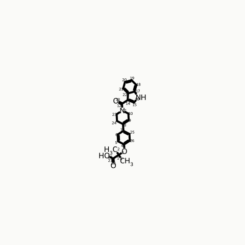 CC(C)(Oc1ccc(C2=CCN(C(=O)c3c[nH]c4ccccc34)CC2)cc1)C(=O)O